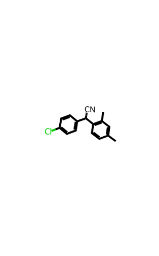 Cc1ccc(C(C#N)c2ccc(Cl)cc2)c(C)c1